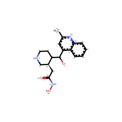 Cc1cc(C([O])C2CCNC[C@@H]2CC(=O)NO)c2ccccc2n1